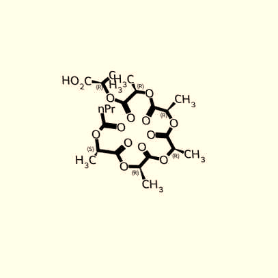 CCCC(=O)O[C@@H](C)C(=O)O[C@H](C)C(=O)O[C@H](C)C(=O)O[C@H](C)C(=O)O[C@H](C)C(=O)O[C@H](C)C(=O)O